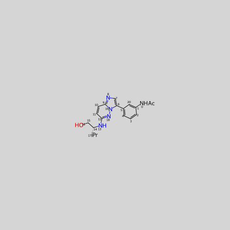 CC(=O)Nc1cccc(-c2cnc3ccc(N[C@@H](CO)C(C)C)nn23)c1